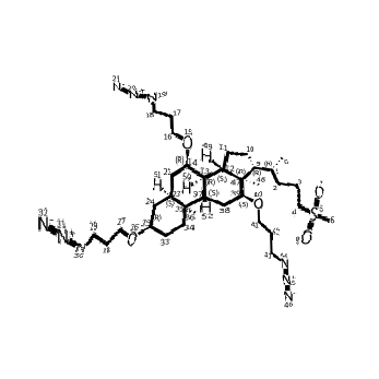 C[C@H](CCCS(C)(=O)=O)[C@H]1CC[C@H]2[C@@H]3[C@H](OCCCN=[N+]=[N-])C[C@@H]4C[C@H](OCCCN=[N+]=[N-])CC[C@]4(C)[C@H]3C[C@H](OCCCN=[N+]=[N-])[C@]12C